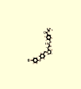 COC(=O)c1ccc(CNCCC2CCCN2Cc2ccc(Oc3ccc(Br)cc3)cc2)cc1